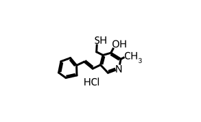 Cc1ncc(/C=C/c2ccccc2)c(CS)c1O.Cl